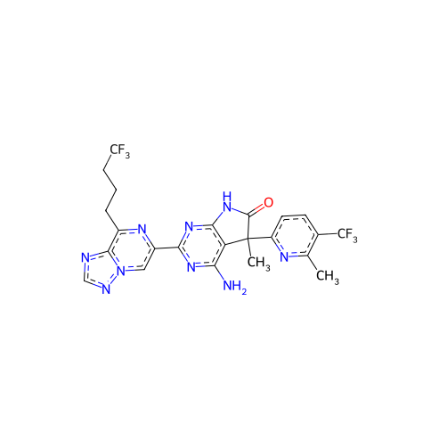 Cc1nc(C2(C)C(=O)Nc3nc(-c4cn5ncnc5c(CCCC(F)(F)F)n4)nc(N)c32)ccc1C(F)(F)F